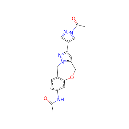 CC(=O)Nc1ccc2c(c1)OCc1cc(-c3cnn(C(C)=O)c3)nn1C2